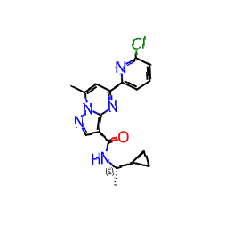 Cc1cc(-c2cccc(Cl)n2)nc2c(C(=O)N[C@@H](C)C3CC3)cnn12